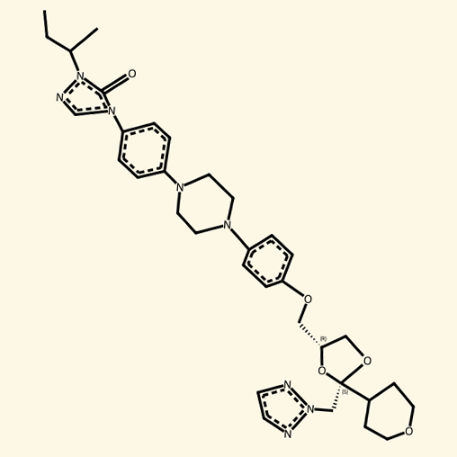 CCC(C)n1ncn(-c2ccc(N3CCN(c4ccc(OC[C@@H]5CO[C@@](Cn6nccn6)(C6CCOCC6)O5)cc4)CC3)cc2)c1=O